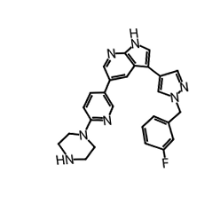 Fc1cccc(Cn2cc(-c3c[nH]c4ncc(-c5ccc(N6CCNCC6)nc5)cc34)cn2)c1